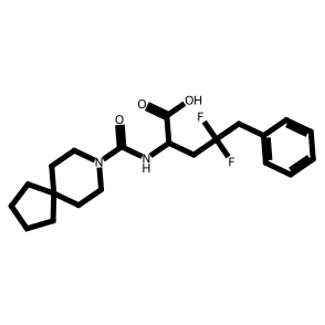 O=C(O)C(CC(F)(F)Cc1ccccc1)NC(=O)N1CCC2(CCCC2)CC1